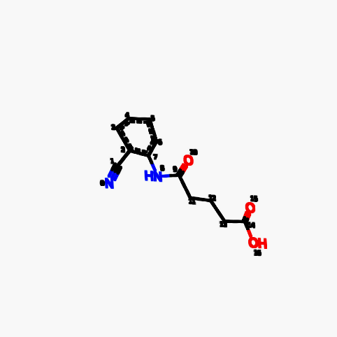 N#Cc1ccccc1NC(=O)CCCC(=O)O